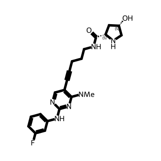 CNc1nc(Nc2cccc(F)c2)ncc1C#CCCCNC(=O)[C@@H]1C[C@H](O)CN1